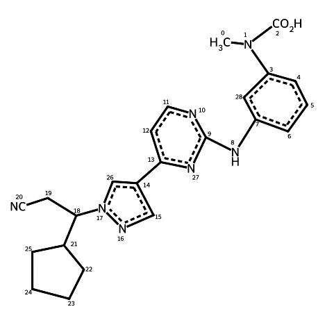 CN(C(=O)O)c1cccc(Nc2nccc(-c3cnn(C(CC#N)C4CCCC4)c3)n2)c1